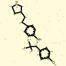 FC(F)(F)[C@H](Nc1ccc(CCC2CCNC2)cc1)c1ccc(Cl)cc1